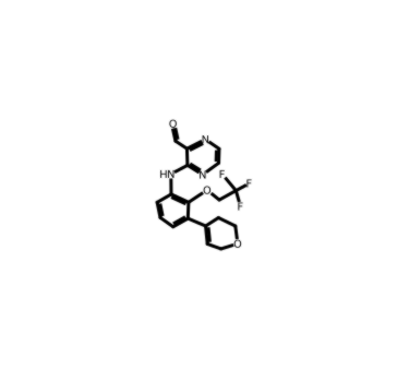 O=Cc1nccnc1Nc1cccc(C2=CCOCC2)c1OCC(F)(F)F